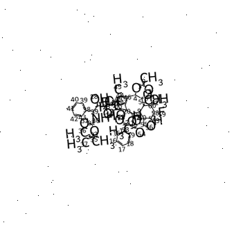 CC(=O)O[C@H]1C(=O)[C@@]2(C)[C@H]([C@H](OC(=O)c3ccccc3)[C@]3(O)C[C@H](OC(=O)[C@H](O)[C@@H](NC(=O)OC(C)(C)C)c4ccccc4)C(C)=C1C3(C)C)[C@]1(OC(C)=O)CO[C@@H]1[C@@H](F)[C@@H]2O